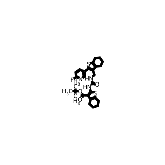 CC(C)(C)OC(=O)c1c(NC(=O)NCc2c(-c3ccc(F)nc3)sc3c2CCCC3)sc2c1CCCC2